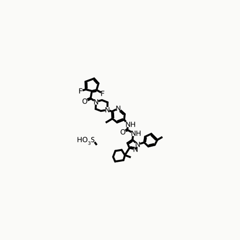 CS(=O)(=O)O.Cc1ccc(-n2nc(C3(C)CCCCC3)cc2NC(=O)Nc2cnc(N3CCN(C(=O)c4c(F)cccc4F)CC3)c(C)c2)cc1